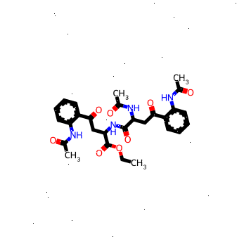 CCOC(=O)C(CC(=O)c1ccccc1NC(C)=O)NC(=O)C(CC(=O)c1ccccc1NC(C)=O)NC(C)=O